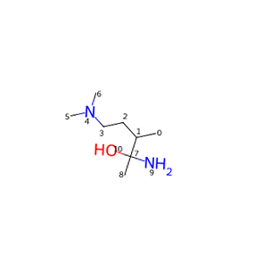 CC(CCN(C)C)C(C)(N)O